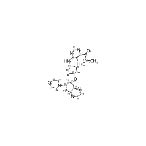 CN(C)C(=O)c1cc(N[C@H]2CC[C@@H](Oc3cc(N4CCOCC4)cc4nccnc34)CC2)ncn1